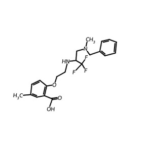 Cc1ccc(OCCNC(CN(C)Cc2ccccc2)C(F)(F)F)c(C(=O)O)c1